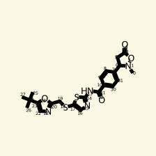 CN1OC(=O)CC1c1ccc(C(=O)Nc2ncc(SCc3ncc(C(C)(C)C)o3)s2)cc1